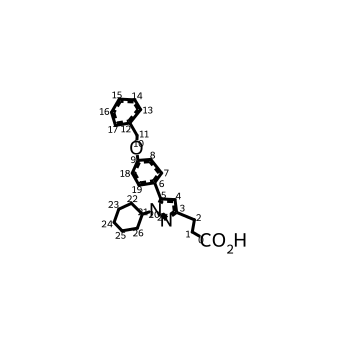 O=C(O)CCc1cc(-c2ccc(OCc3ccccc3)cc2)n(C2CCCCC2)n1